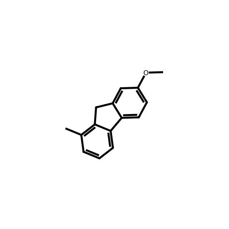 COc1ccc2c(c1)Cc1c(C)cccc1-2